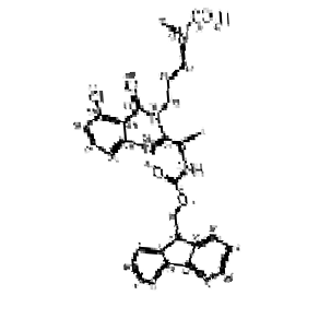 CC(NC(=O)OCC1c2ccccc2-c2ccccc21)c1nc2cccc(Cl)c2c(=O)n1CCCN(C)C(=O)O